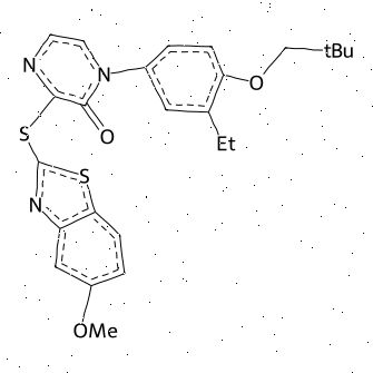 CCc1cc(-n2ccnc(Sc3nc4cc(OC)ccc4s3)c2=O)ccc1OCC(C)(C)C